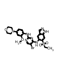 CCS(=O)(=O)c1cc2[nH]ncc2cc1Nc1nc(Nc2ccc(N3CCOCC3)cc2OC)ncc1Br